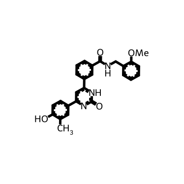 COc1ccccc1CNC(=O)c1cccc(-c2cc(-c3ccc(O)c(C)c3)nc(=O)[nH]2)c1